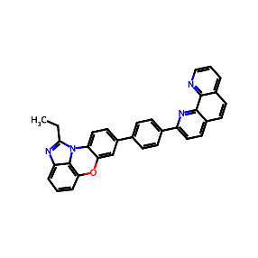 CCc1nc2cccc3c2n1-c1ccc(-c2ccc(-c4ccc5ccc6cccnc6c5n4)cc2)cc1O3